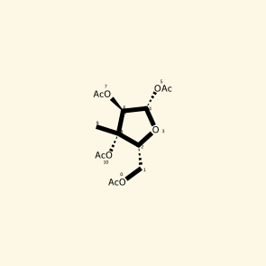 CC(=O)OC[C@H]1O[C@@H](OC(C)=O)[C@H](OC(C)=O)[C@@]1(C)OC(C)=O